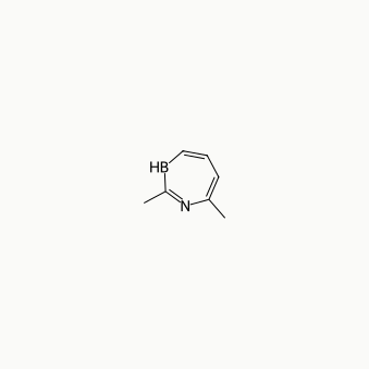 CC1=CC=CBC(C)=N1